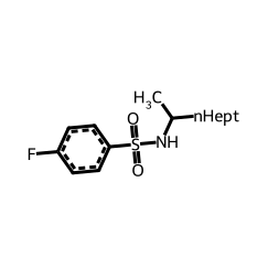 CCCCCCCC(C)NS(=O)(=O)c1ccc(F)cc1